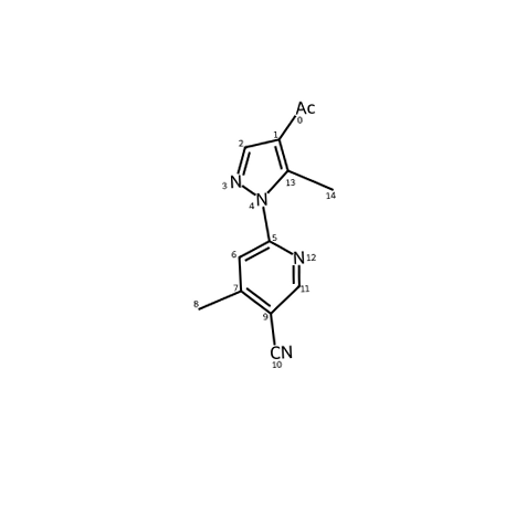 CC(=O)c1cnn(-c2cc(C)c(C#N)cn2)c1C